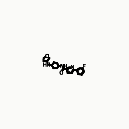 O=C(NC1CCC(NC2CCOC2)CC1)c1ccc(-c2cccc(F)c2)nc1